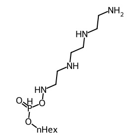 CCCCCCO[PH](=O)ONCCNCCNCCN